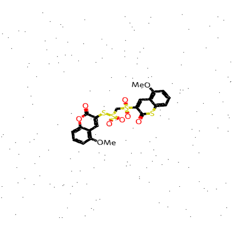 COc1cccc2oc(=O)c(SS(=O)(=O)CS(=O)(=O)c3cc4c(OC)cccc4sc3=O)cc12